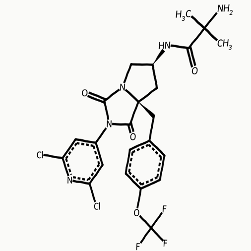 CC(C)(N)C(=O)N[C@@H]1CN2C(=O)N(c3cc(Cl)nc(Cl)c3)C(=O)[C@@]2(Cc2ccc(OC(F)(F)F)cc2)C1